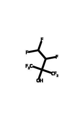 OC(C(F)C(F)F)(C(F)(F)F)C(F)(F)F